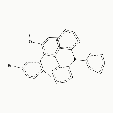 COc1ccc(C)c(-c2ccccc2P(c2ccccc2)c2ccccc2)c1-c1cc(Br)ccc1C